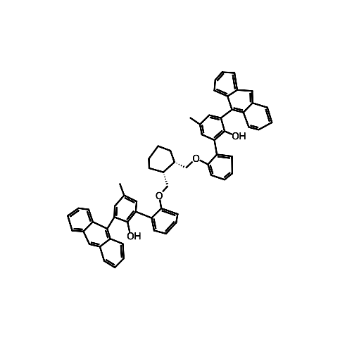 Cc1cc(-c2ccccc2OC[C@H]2CCCC[C@H]2COc2ccccc2-c2cc(C)cc(-c3c4ccccc4cc4ccccc34)c2O)c(O)c(-c2c3ccccc3cc3ccccc23)c1